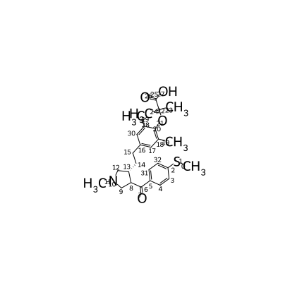 CSc1ccc(C(=O)C2CN(C)C[C@@H]2CCc2cc(C)c(OC(C)(C)C(=O)O)c(C)c2)cc1